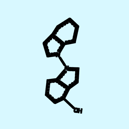 Oc1cccc2c1ccn2-n1ccc2ccccc21